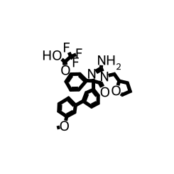 COc1cccc(-c2cccc(C3(c4ccccc4)N=C(N)N(CC4CCCO4)C3=O)c2)c1.O=C(O)C(F)(F)F